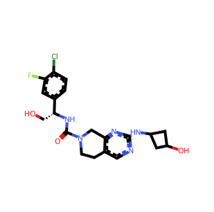 O=C(N[C@H](CO)c1ccc(Cl)c(F)c1)N1CCc2cnc(NC3CC(O)C3)nc2C1